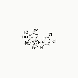 CC(=O)C1O[C@@H](n2c(Br)nc3cc(Cl)c(Cl)cc32)[C@@](O)(C(C)=O)[C@@](O)(C(C)=O)[C@@H]1O